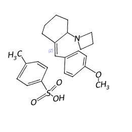 COc1ccc(/C=C2/CCCCC2N2CCC2)cc1.Cc1ccc(S(=O)(=O)O)cc1